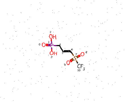 O=P(O)(O)CC=CS(=O)(=O)C(F)(F)F